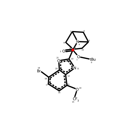 CC(C)(C)OC(=O)N1C2CC1CN(c1nc3c(OC(F)(F)F)ccc(Br)c3o1)C2